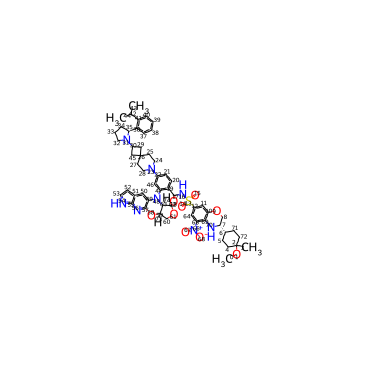 COC1(C)CCC([C@H]2COc3cc(S(=O)(=O)NC(=O)c4ccc(N5CCC6(CC5)CC(N5CCC[C@H]5c5ccccc5C(C)C)C6)cc4N4c5cc6cc[nH]c6nc5O[C@H]5COC[C@@H]54)cc([N+](=O)[O-])c3N2)CC1